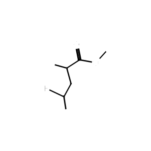 COC(=O)C(C)CC(C)F